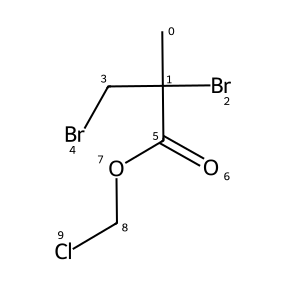 CC(Br)(CBr)C(=O)OCCl